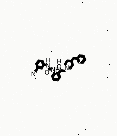 N#Cc1cccc(NC(=O)Nc2ccccc2C(O)CN2CCC(Cc3ccccc3)CC2)c1